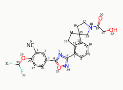 N#Cc1cc(-c2nc(-c3cccc4c3CCC43CCN(C(=O)CO)C3)no2)ccc1OC(F)F